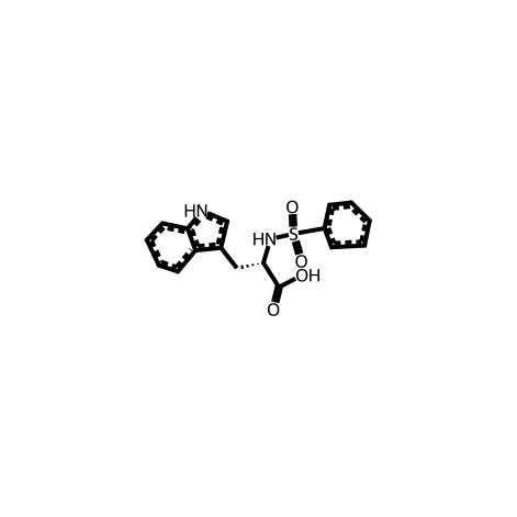 O=C(O)[C@H](Cc1c[nH]c2ccccc12)NS(=O)(=O)c1ccccc1